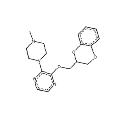 CN1CCN(c2nccnc2OCC2COc3ccccc3O2)CC1